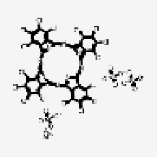 Clc1c(Cl)c(Cl)c2c(c1Cl)-c1nc-2nc2[nH]c(nc3nc(nc4[nH]c(n1)c1c(Cl)c(Cl)c(Cl)c(Cl)c41)-c1c(Cl)c(Cl)c(Cl)c(Cl)c1-3)c1c(Cl)c(Cl)c(Cl)c(Cl)c21.O=S(=O)([O-])[O-].O=S(=O)([O-])[O-].O=S(=O)([O-])[O-].[Al+3].[Al+3]